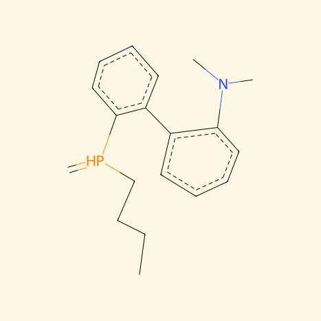 C=[PH](CCCC)c1ccccc1-c1ccccc1N(C)C